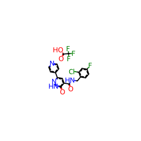 O=C(NCc1ccc(F)cc1Cl)c1cc(-c2ccncc2)n[nH]c1=O.O=C(O)C(F)(F)F